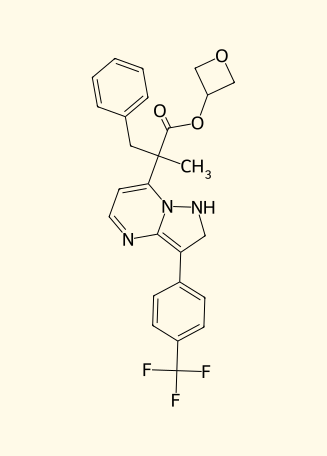 CC(Cc1ccccc1)(C(=O)OC1COC1)C1=CC=NC2=C(c3ccc(C(F)(F)F)cc3)CNN12